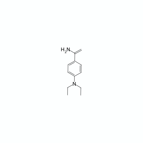 C=C(N)c1ccc(N(CC)CC)cc1